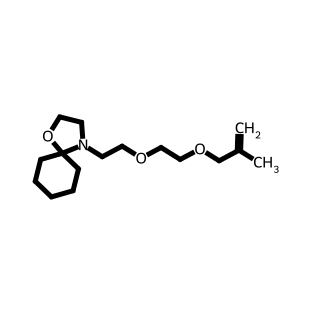 C=C(C)COCCOCCN1CCOC12CCCCC2